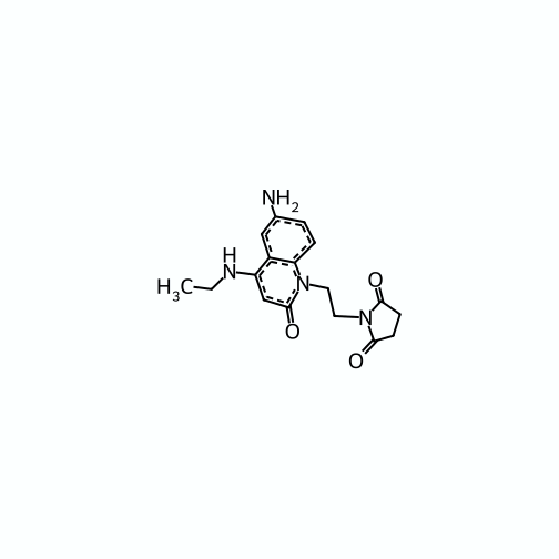 CCNc1cc(=O)n(CCN2C(=O)CCC2=O)c2ccc(N)cc12